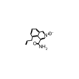 C=CCc1cccc2c[n+]([O-])cc(C(N)=O)c12